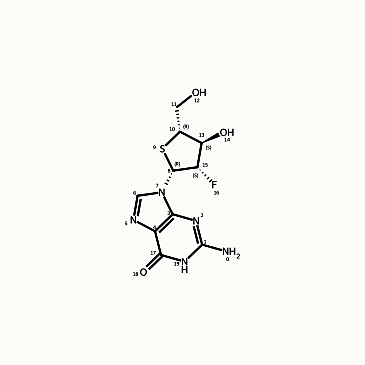 Nc1nc2c(ncn2[C@@H]2S[C@H](CO)[C@@H](O)[C@@H]2F)c(=O)[nH]1